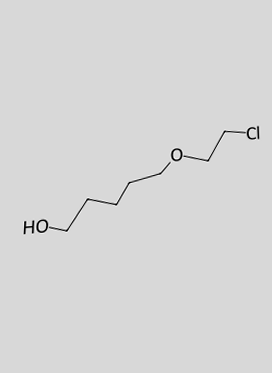 OCCCCCOCCCl